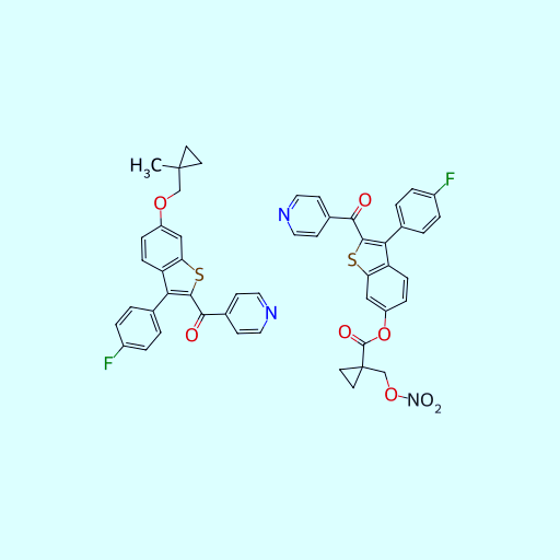 CC1(COc2ccc3c(-c4ccc(F)cc4)c(C(=O)c4ccncc4)sc3c2)CC1.O=C(c1ccncc1)c1sc2cc(OC(=O)C3(CO[N+](=O)[O-])CC3)ccc2c1-c1ccc(F)cc1